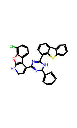 Clc1cccc2c3c(oc12)NCC=C3C1=NC(c2ccccc2)NC(c2cccc3c2sc2ccccc23)=N1